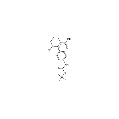 CC(C)(C)OC(=O)Nc1ccc([C@@H]2[C@H](C(=O)O)CCCN2Cl)cc1